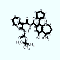 CC1=CCCNc2c1c(Cl)cc(C(C)NC(=O)c1c(NC(=O)OC(C)(C)C)nn3cccnc13)c2-c1ccccc1